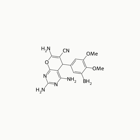 Bc1cc(C2C(C#N)=C(N)Oc3nc(N)nc(N)c32)cc(OC)c1OC